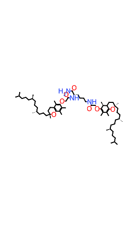 CC1=C2O[C@](C)(CCC[C@H](C)CCC[C@H](C)CCCC(C)C)CCC2[C@H](C)C(OCC(=O)NCCCC[C@H](NC(=O)COc2c(C)c(C)c3c(c2C)CC[C@@](C)(CCC[C@H](C)CCC[C@H](C)CCCC(C)C)O3)C(N)=O)=C1C